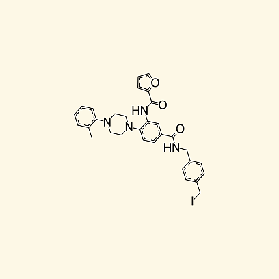 Cc1ccccc1N1CCN(c2ccc(C(=O)NCc3ccc(CI)cc3)cc2NC(=O)c2ccco2)CC1